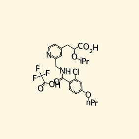 CCCOc1ccc(C(=O)NCc2cc(CC(OC(C)C)C(=O)O)ccn2)c(Cl)c1.O=C(O)C(F)(F)F